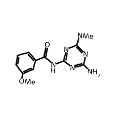 CNc1nc(N)nc(NC(=O)c2cccc(OC)c2)n1